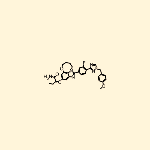 CC[C@H](Oc1cc2c3c(c1)nc(-c1ccc(-c4ncn(Cc5ccc(OC)cc5)n4)c(F)c1)n3CCCCO2)C(N)=O